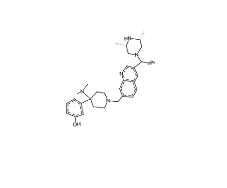 CCCC(c1cnc2cc(CN3CCC(c4cccc(O)c4)(N(C)C)CC3)ccc2c1)N1C[C@@H](C)N[C@@H](C)C1